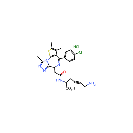 Cc1sc2c(c1C)C(c1ccc(Cl)cc1)=N[C@@H](CC(=O)NC(CC#CCN)C(=O)O)c1nnc(C)n1-2.Cl